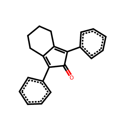 O=C1C(c2ccccc2)=C2CCCCC2=C1c1ccccc1